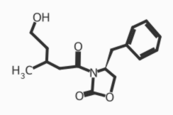 CC(CCO)CC(=O)N1C(=O)OC[C@@H]1Cc1ccccc1